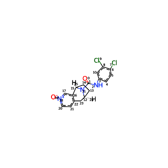 O=C(Nc1ccc(Cl)c(Cl)c1)N1[C@H]2CC[C@@H]1c1c[n+]([O-])ccc1C2